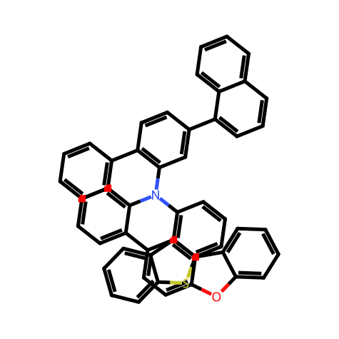 c1ccc(-c2ccc(-c3cccc4ccccc34)cc2N(c2ccccc2-c2ccc3oc4ccccc4c3c2)c2cccc3sc4ccccc4c23)cc1